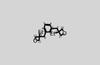 CCC1(Cc2cccc(CC3(CC)COC3)c2)COC1